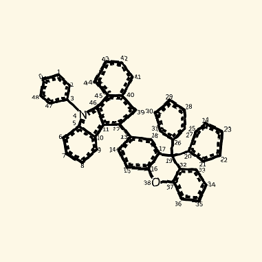 c1ccc(-n2c3ccccc3c3c(-c4ccc5c(c4)C(c4ccccc4)(c4ccccc4)c4ccccc4O5)cc4ccccc4c32)cc1